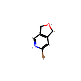 Brc1cc2c(cn1)COC2